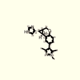 Cc1nn(C)c(C)c1-c1ccc2c(c1)[C@@H]1[C@H](CO2)[C@H]1c1c[nH]cn1